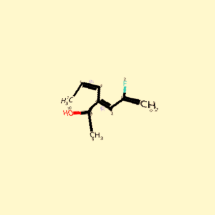 C=C(F)/C=C(\C=C/C)C(C)O